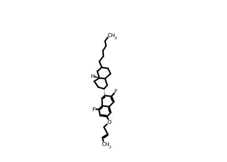 C/C=C/COc1cc(F)c2cc([C@@H]3CC[C@@H]4CC(CCCCCC)CCC4C3)c(F)cc2c1